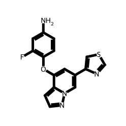 Nc1ccc(Oc2cc(-c3cscn3)cn3nccc23)c(F)c1